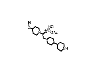 CCOC1CCN(C(=O)CN2CCN(C3CCNCC3)CC2)CC1.COC(C)=O.Cl.Cl